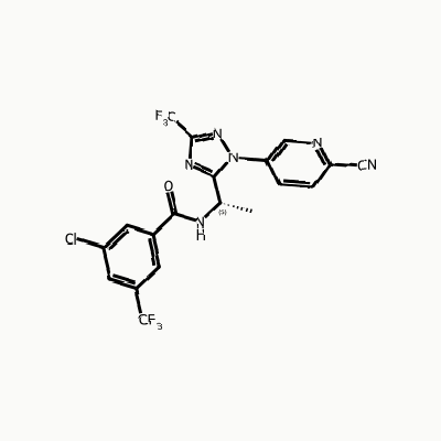 C[C@H](NC(=O)c1cc(Cl)cc(C(F)(F)F)c1)c1nc(C(F)(F)F)nn1-c1ccc(C#N)nc1